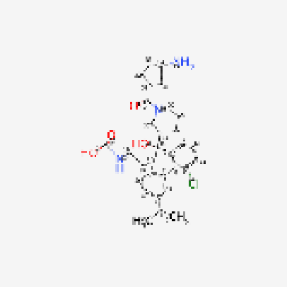 CC(C)c1cccc(-c2c(Cl)cccc2C(O)(CCCNC(=O)O)C2CCCN(C(=O)[C@@H]3CC[C@H](N)C3)C2)c1